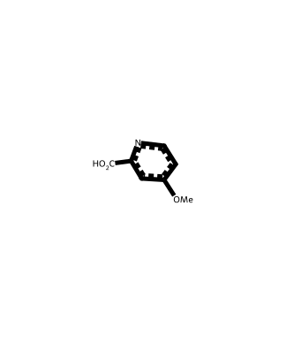 COc1[c]c(C(=O)O)ncc1